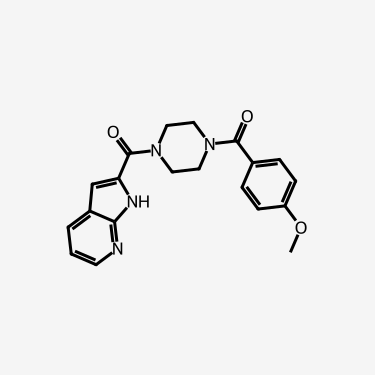 COc1ccc(C(=O)N2CCN(C(=O)c3cc4cccnc4[nH]3)CC2)cc1